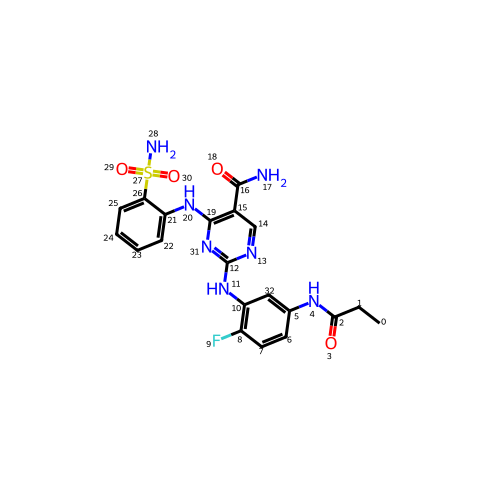 CCC(=O)Nc1ccc(F)c(Nc2ncc(C(N)=O)c(Nc3ccccc3S(N)(=O)=O)n2)c1